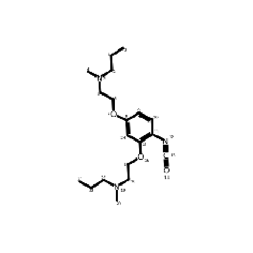 CCCN(C)CCOc1ccc(N=C=O)c(OCCN(C)CCC)c1